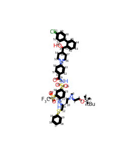 CN(CCO[Si](C)(C)C(C)(C)C)CC[C@H](CSc1ccccc1)Nc1ccc(S(=O)(=O)NC(=O)c2ccc(N3CCC(C(O)c4ccccc4-c4ccc(Cl)cc4)CC3)cc2)cc1S(=O)(=O)C(F)(F)F